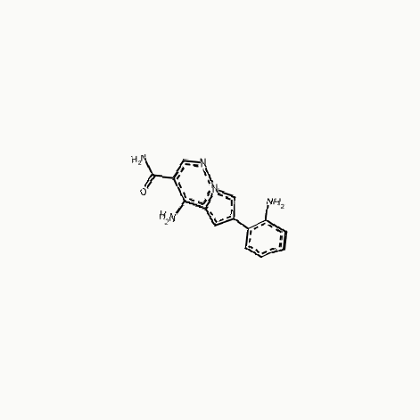 NC(=O)c1cnn2cc(-c3ccccc3N)cc2c1N